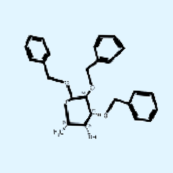 C[C@@H]1OC(OCc2ccccc2)[C@@H](OCc2ccccc2)[C@H](OCc2ccccc2)[C@@H]1O